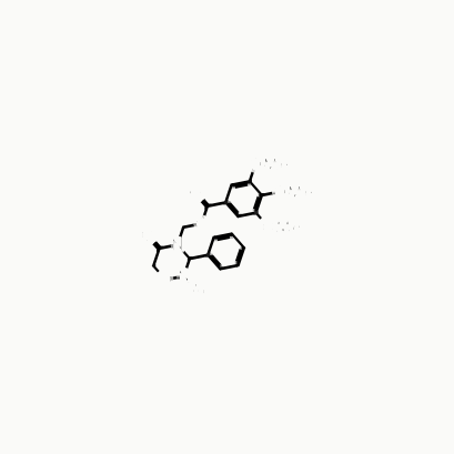 COc1cc(C(=O)OCN2C(=O)CON(C(C)=O)C2c2ccccc2)cc(OC)c1OC